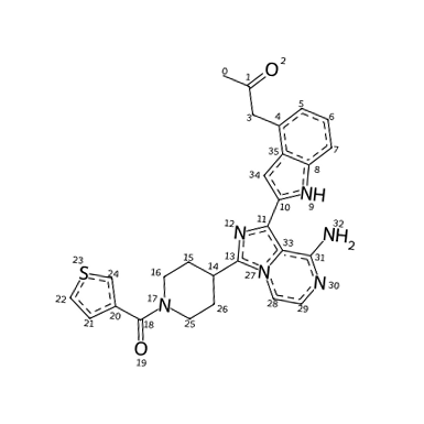 CC(=O)Cc1cccc2[nH]c(-c3nc(C4CCN(C(=O)c5ccsc5)CC4)n4ccnc(N)c34)cc12